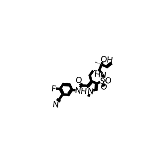 C=C[C@](C)(O)[C@H]1CCc2c(cn(C)c2C(=O)Nc2ccc(F)c(C#N)c2)S(=O)(=O)N1